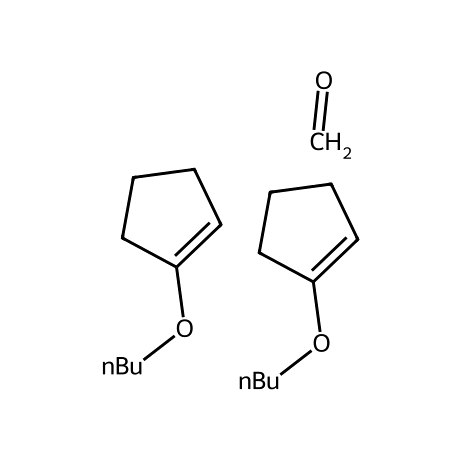 C=O.CCCCOC1=CCCC1.CCCCOC1=CCCC1